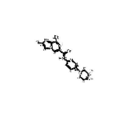 CCc1nc(C(=O)Nc2ccc(N3CCN[C@@H](C)C3)nn2)cn2cc(C)nc12